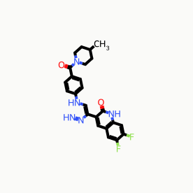 CC1CCN(C(=O)c2ccc(N/C=C(\N=N)c3cc4cc(F)c(F)cc4[nH]c3=O)cc2)CC1